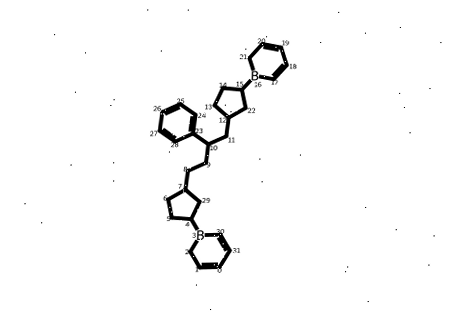 C1=CCB(C2CCC(CCC(CC3CCC(B4C=CC=CC4)C3)c3ccccc3)C2)C=C1